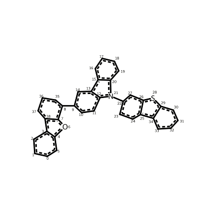 c1ccc2c(c1)oc1c(-c3ccc4c(c3)c3ccccc3n4-c3ccc4c(c3)sc3ccccc34)cccc12